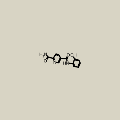 NC(=O)c1ccc(C(=O)Nc2ccccc2O)cn1